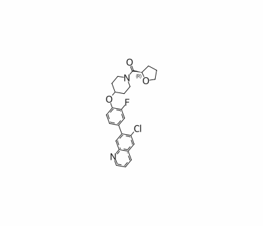 O=C([C@H]1CCCO1)N1CCC(Oc2ccc(-c3cc4ncccc4cc3Cl)cc2F)CC1